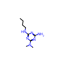 CCCCNc1nc(N)nc(N(C)C)n1